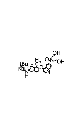 Cc1c(Oc2ccnc3ccc(C(=O)N(CCO)CCO)cc23)ccc(CC(=O)Nc2cnn(C(C)(C)C)c2)c1F